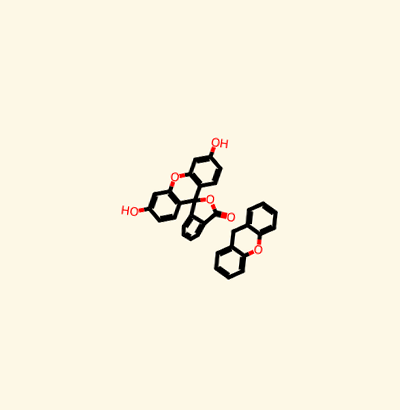 O=C1OC2(c3ccc(O)cc3Oc3cc(O)ccc32)c2ccccc21.c1ccc2c(c1)Cc1ccccc1O2